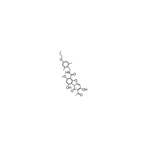 CCCOc1cc(C)c(CNC(=O)c2c(OC)cc(O)c3c2OC2=CC(O)=C(C(C)=O)C(=O)[C@]23C)c(C)c1